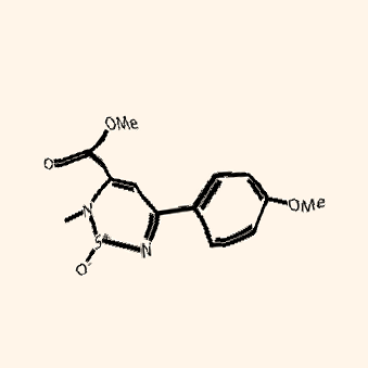 COC(=O)C1=CC(c2ccc(OC)cc2)=N[S+]([O-])N1C